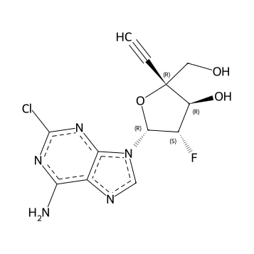 C#C[C@]1(CO)O[C@@H](n2cnc3c(N)nc(Cl)nc32)[C@@H](F)[C@@H]1O